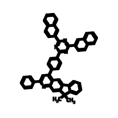 CC1(C)c2ccccc2-c2cc3c(-c4ccc(-c5nc(-c6ccc7ccccc7c6)nc(-c6ccc7ccccc7c6)n5)cc4)cc(-c4ccccc4)nc3cc21